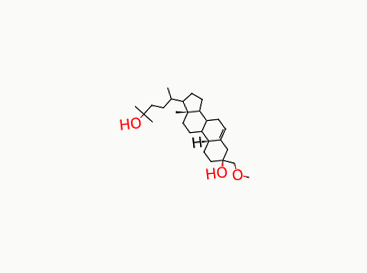 COC[C@]1(O)CC[C@H]2C(=CCC3C2CC[C@]2(C)C(C(C)CCC(C)(C)O)CCC32)C1